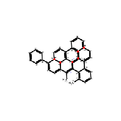 C/C=C\C(=C(\C)C1=CC=C(c2ccccc2)CC1)c1c(C)cccc1C1=CCCC=C1NC1=C(c2ccccc2)C=CCC1